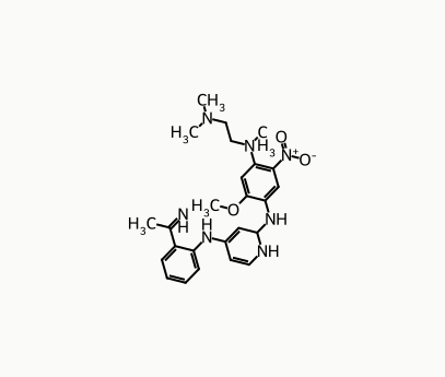 COc1cc(N(C)CCN(C)C)c([N+](=O)[O-])cc1NC1C=C(Nc2ccccc2C(C)=N)C=CN1